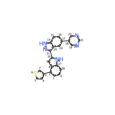 c1cc(-c2ccsc2)c2cc(-c3n[nH]c4ccc(-c5cncnc5)cc34)[nH]c2c1